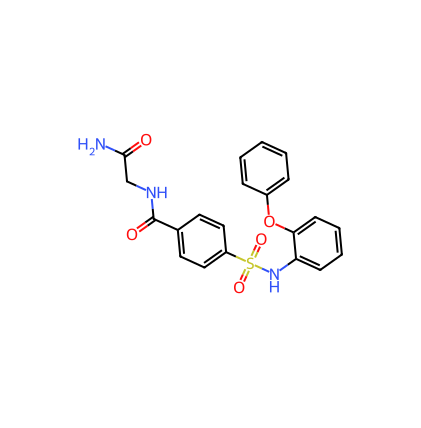 NC(=O)CNC(=O)c1ccc(S(=O)(=O)Nc2ccccc2Oc2ccccc2)cc1